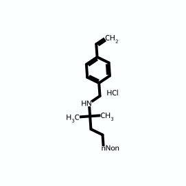 C=Cc1ccc(CNC(C)(C)CCCCCCCCCCC)cc1.Cl